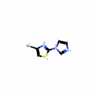 CC(C)(C)c1csc(-n2ccnc2)n1